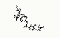 CSCCCN(CCCC(=O)c1ccc2c(c1)CCNCC2)C(=O)C(F)(F)F